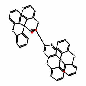 c1ccc2c(c1)Oc1ccccc1C21c2ccc(-c3ncc4c(n3)Sc3ccccc3[Si]43c4ccccc4Sc4ccccc43)cc2Oc2ncncc21